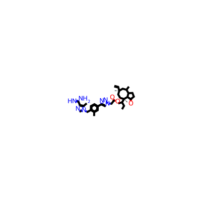 C=C[C@@]1(C)CC(C)C2CCC(=O)C2[C@@](C)(C(C)CC)C(OC(=O)Cn2cc(-c3ccc(Cn4cnc(C(=N)N)c4C)c(C)c3)nn2)C1